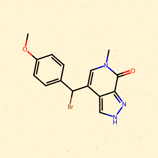 COc1ccc(C(Br)c2cn(C)c(=O)c3n[nH]cc23)cc1